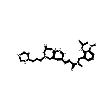 COc1cccc(CN(C)C(=O)/C=C/c2cnc3c(c2)CN(CCCN2CCOCC2)CC(=O)N3)c1OC(C)C